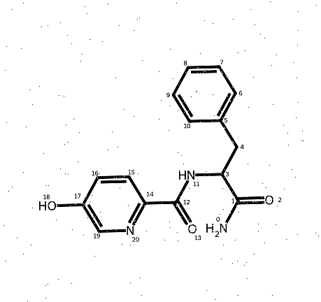 NC(=O)C(Cc1ccccc1)NC(=O)c1ccc(O)cn1